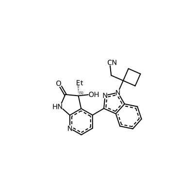 CC[C@@]1(O)C(=O)Nc2nccc(-c3nn(C4(CC#N)CCC4)c4ccccc34)c21